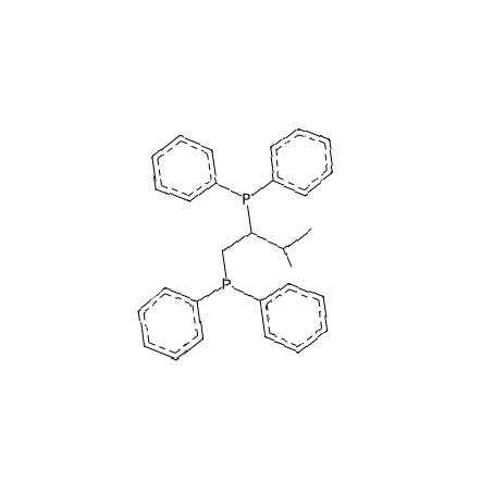 CC(C)C(CP(c1ccccc1)c1ccccc1)P(c1ccccc1)c1ccccc1